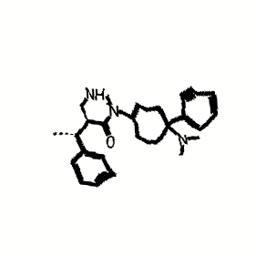 C[C@@H](c1ccccc1)[C@@H](CN)C(=O)N(C)C1CCC(c2ccccc2)(N(C)C)CC1